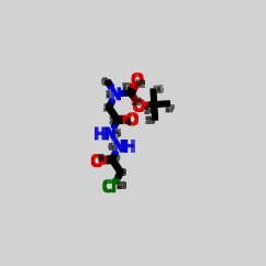 CN(CC(=O)NNC(=O)CCl)C(=O)OC(C)(C)C